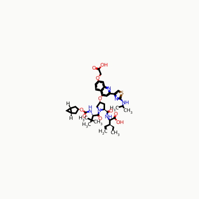 C=C[C@H](CC)C(NC(=O)[C@@H]1C[C@@H](Oc2cc(-c3csc(NC(C)C)n3)nc3cc(OCC(=O)O)ccc23)CN1C(=O)[C@@H](NC(=O)O[C@@H]1C[C@@H]2C[C@@H]2C1)C(C)(C)C)C(=O)O